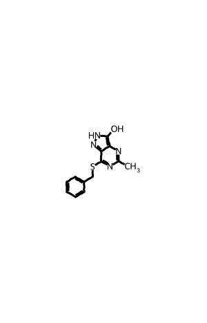 Cc1nc(SCc2ccccc2)c2n[nH]c(O)c2n1